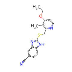 CCOc1ccnc(CSc2nc3cc(C#N)ccc3[nH]2)c1C